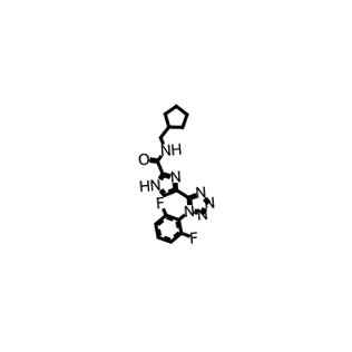 O=C(NCC1CCCC1)c1nc(-c2nnnn2-c2c(F)cccc2F)c[nH]1